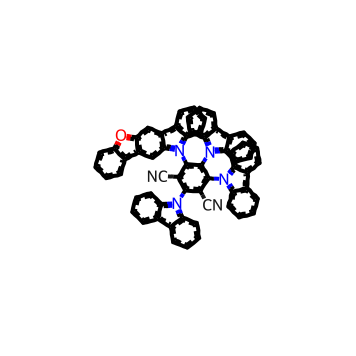 N#Cc1c(-n2c3ccccc3c3ccccc32)c(C#N)c(-n2c3ccccc3c3cc4oc5ccccc5c4cc32)c(-n2c3ccccc3c3ccccc32)c1-n1c2ccccc2c2ccccc21